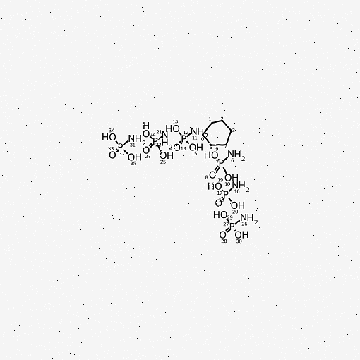 C1CCCCC1.NP(=O)(O)O.NP(=O)(O)O.NP(=O)(O)O.NP(=O)(O)O.NP(=O)(O)O.NP(=O)(O)O